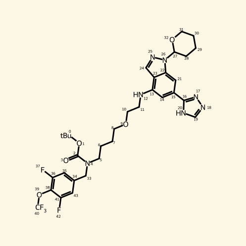 CC(C)(C)OC(=O)N(CCCCOCCNc1cc(-c2nnc[nH]2)cc2c1cnn2C1CCCCO1)Cc1cc(F)c(OC(F)(F)F)c(F)c1